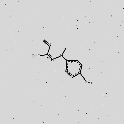 C=C/C(C=O)=N\N(C)c1ccc([N+](=O)[O-])cc1